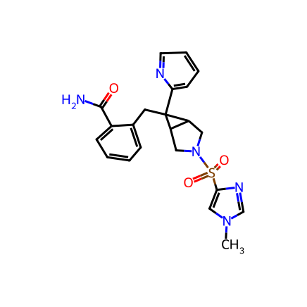 Cn1cnc(S(=O)(=O)N2CC3C(C2)C3(Cc2ccccc2C(N)=O)c2ccccn2)c1